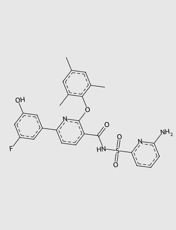 Cc1cc(C)c(Oc2nc(-c3cc(O)cc(F)c3)ccc2C(=O)NS(=O)(=O)c2cccc(N)n2)c(C)c1